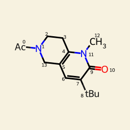 CC(=O)N1CCc2c(cc(C(C)(C)C)c(=O)n2C)C1